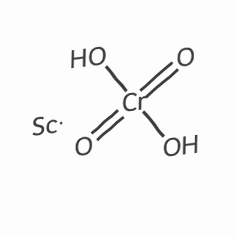 [O]=[Cr](=[O])([OH])[OH].[Sc]